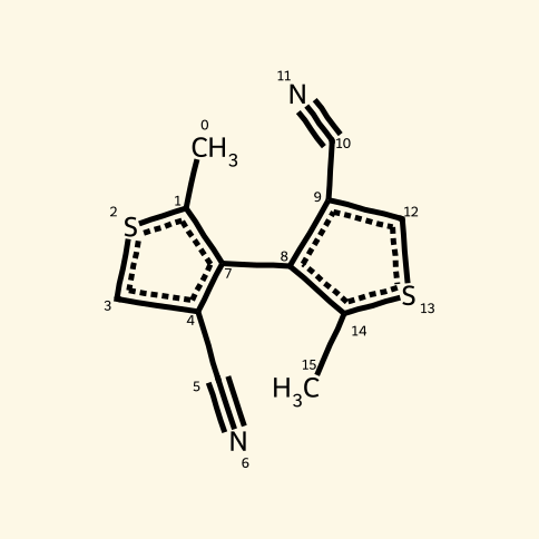 Cc1scc(C#N)c1-c1c(C#N)csc1C